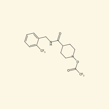 O=C(NCc1ccccc1C(F)(F)F)C1CCN(OC(=O)C(F)(F)F)CC1